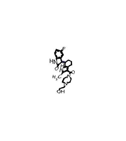 Cc1[nH]c2c(c1C(=O)N1CCN(CCO)CC1)CCC/C2=C1/C(=O)Nc2ccc(F)cc21